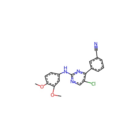 COc1ccc(Nc2ncc(Cl)c(-c3cccc(C#N)c3)n2)cc1OC